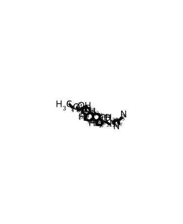 CCOC[C@@]1(O)CC[C@@]2(CC)[C@H](CC[C@H]3[C@@H]4CC[C@H](C(=O)Cn5cc(C#N)cn5)[C@@]4(C)CC[C@@H]32)C1